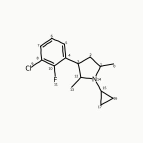 CC1CC(c2cccc(Cl)c2F)C(C)N1C1CC1